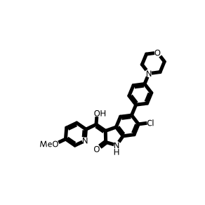 COc1ccc(/C(O)=C2\C(=O)Nc3cc(Cl)c(-c4ccc(N5CCOCC5)cc4)cc32)nc1